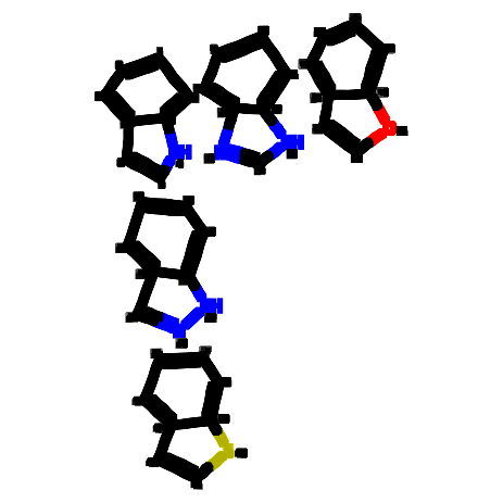 c1ccc2[nH]ccc2c1.c1ccc2[nH]cnc2c1.c1ccc2[nH]ncc2c1.c1ccc2occc2c1.c1ccc2sccc2c1